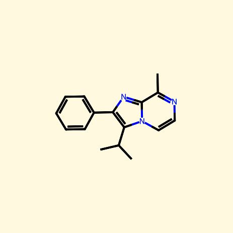 Cc1nccn2c(C(C)C)c(-c3ccccc3)nc12